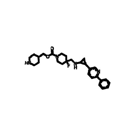 O=C(OCC1CCNCC1)N1CCC(F)(CNC2CC2c2ccc(-c3ccccc3)nc2)CC1